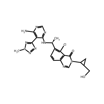 C[C@H](Nc1ncnc(N)c1-c1nnn(C)n1)c1ccc2ncn(C3CC3CO)c(=O)c2c1Cl